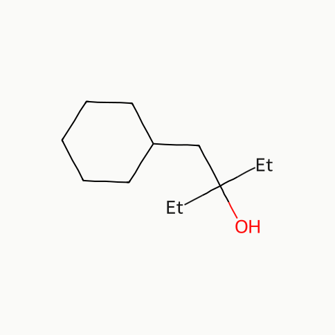 CCC(O)(CC)CC1CCCCC1